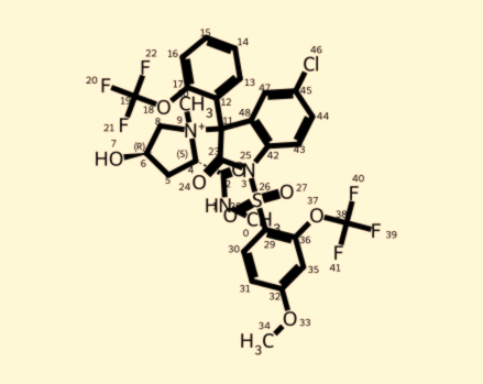 CNC(=O)[C@@H]1C[C@@H](O)C[N+]1(C)C1(c2ccccc2OC(F)(F)F)C(=O)N(S(=O)(=O)c2ccc(OC)cc2OC(F)(F)F)c2ccc(Cl)cc21